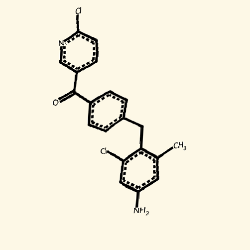 Cc1cc(N)cc(Cl)c1Cc1ccc(C(=O)c2ccc(Cl)nc2)cc1